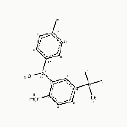 CCC(C)(C)c1ccc(O)c([S+]([O-])c2ccc(C)cc2)c1